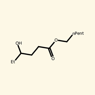 CCCCCCOC(=O)CCC(O)CC